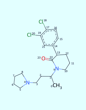 CC(CCN1CCCC1)N1CCCC(c2ccc(Cl)c(Cl)c2)C1=O